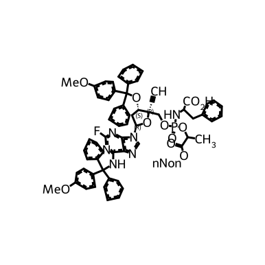 C#C[C@]1(COP(=O)(NC(Cc2ccccc2)C(=O)O)OC(C)C(=O)OCCCCCCCCC)O[C@@H](n2cnc3c(NC(c4ccccc4)(c4ccccc4)c4ccc(OC)cc4)nc(F)nc32)C[C@@H]1OC(c1ccccc1)(c1ccccc1)c1ccc(OC)cc1